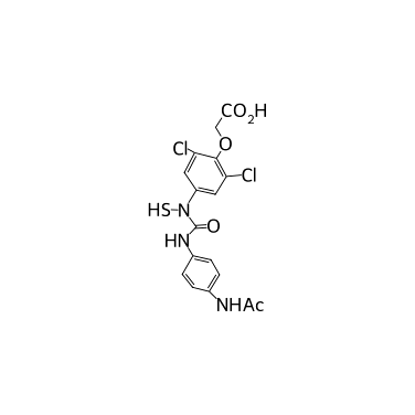 CC(=O)Nc1ccc(NC(=O)N(S)c2cc(Cl)c(OCC(=O)O)c(Cl)c2)cc1